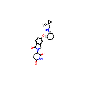 O=C1CCC(N2Cc3cc(O[C@H]4CCCC[C@H]4NCC4(C(F)(F)F)CC4)ccc3C2=O)C(=O)N1